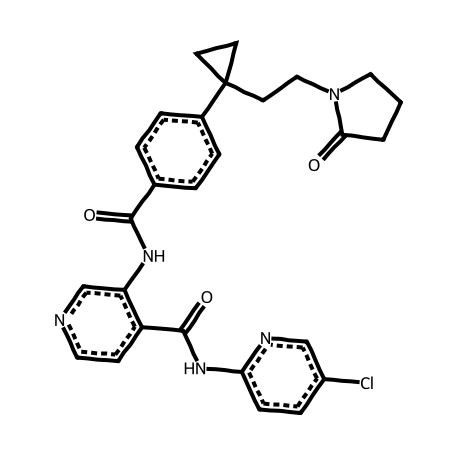 O=C(Nc1cnccc1C(=O)Nc1ccc(Cl)cn1)c1ccc(C2(CCN3CCCC3=O)CC2)cc1